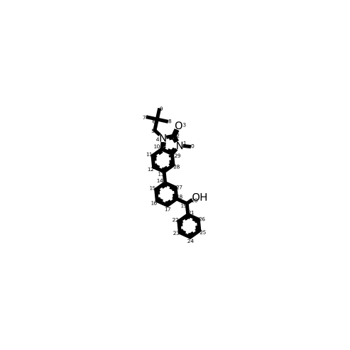 Cn1c(=O)n(CC(C)(C)C)c2ccc(-c3cccc(C(O)c4ccccc4)c3)cc21